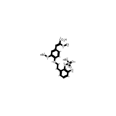 CCCCOc1cc(C=C(OCC)C(=O)O)ccc1OCCc1cccc(Cl)c1OS(=O)(=O)CCCC